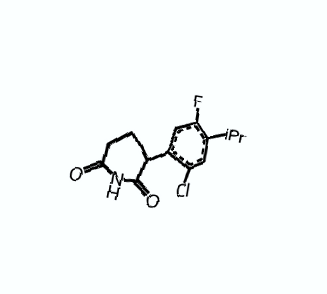 CC(C)c1cc(Cl)c(C2CCC(=O)NC2=O)cc1F